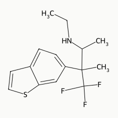 CCNC(C)C(C)(c1ccc2ccsc2c1)C(F)(F)F